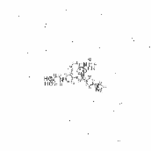 N#CC1(NC(=O)[C@@H]2CCCC[C@H]2c2nn(-c3ccc(-n4cccn4)cc3)cc2-c2ccc(N3CCS(O)(O)CC3)cc2)CC1